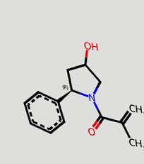 C=C(C)C(=O)N1CC(O)C[C@@H]1c1ccccc1